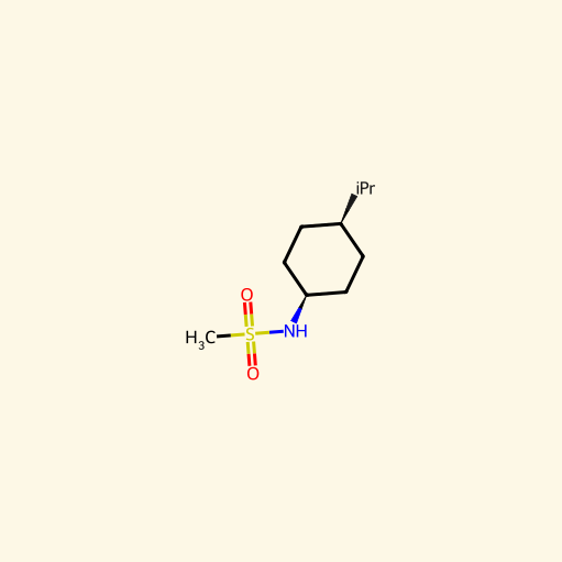 CC(C)[C@H]1CC[C@@H](NS(C)(=O)=O)CC1